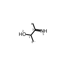 [CH2]C(O)C(C)=N